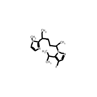 CC(C)c1c(F)cnn1C(C)CCC(C)c1nccn1C